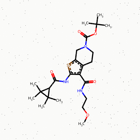 COCCNC(=O)c1c(NC(=O)C2C(C)(C)C2(C)C)sc2c1CCN(C(=O)OC(C)(C)C)C2